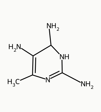 CC1=C(N)C(N)NC(N)=N1